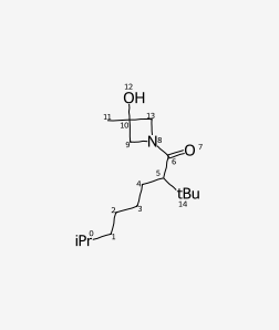 CC(C)CCCCC(C(=O)N1CC(C)(O)C1)C(C)(C)C